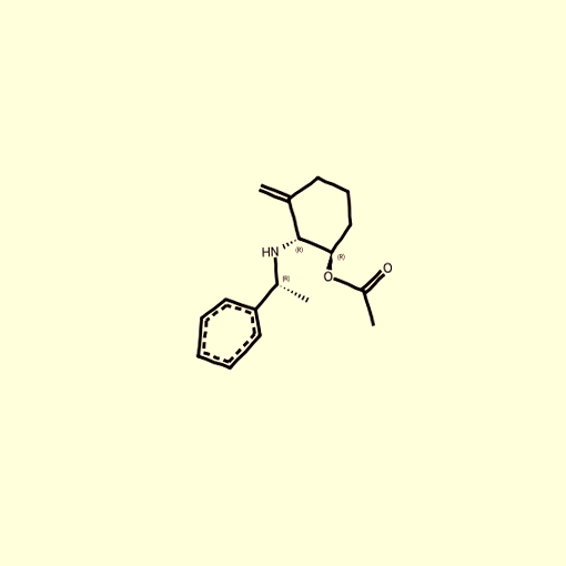 C=C1CCC[C@@H](OC(C)=O)[C@@H]1N[C@H](C)c1ccccc1